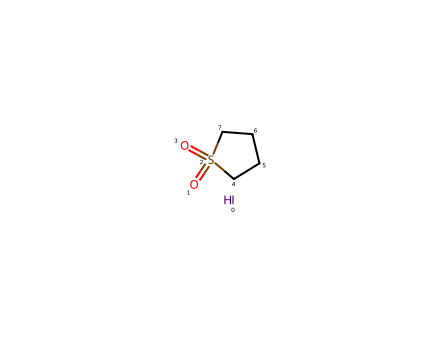 I.O=S1(=O)CCCC1